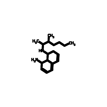 CCCCC(C)C(C)NC1CC=CC2=CC=CC(N)C21